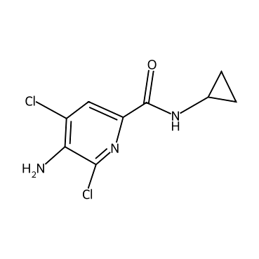 Nc1c(Cl)cc(C(=O)NC2CC2)nc1Cl